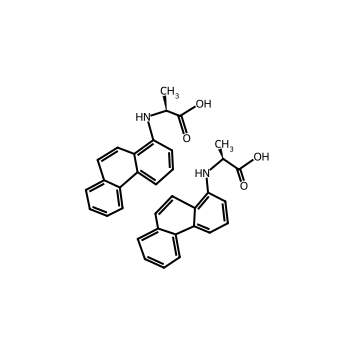 C[C@H](Nc1cccc2c1ccc1ccccc12)C(=O)O.C[C@H](Nc1cccc2c1ccc1ccccc12)C(=O)O